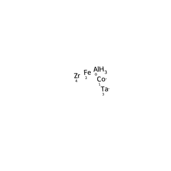 [AlH3].[Co].[Fe].[Ta].[Zr]